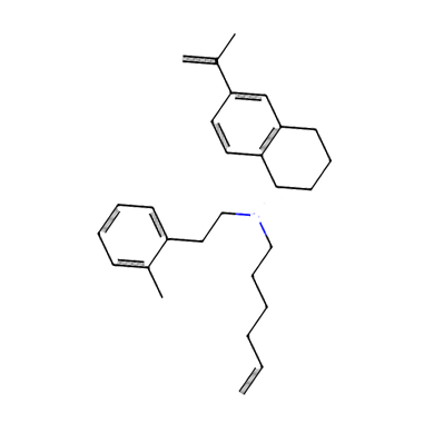 C=CCCCCN(CCc1ccccc1C)[C@H]1CCCc2cc(C(=C)C)ccc21